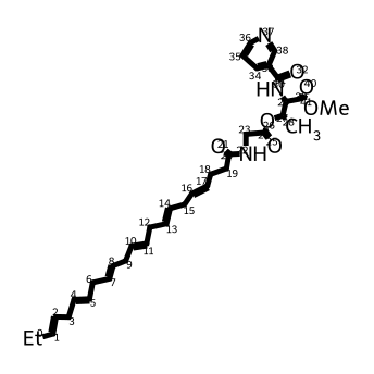 CCC=CCC=CCC=CCC=CCC=CCC=CCCC(=O)NCC(=O)OC(C)C(NC(=O)c1cccnc1)C(=O)OC